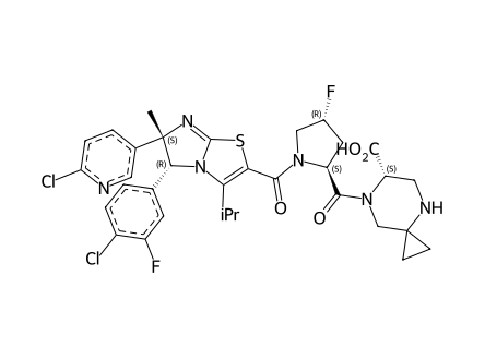 CC(C)C1=C(C(=O)N2C[C@H](F)C[C@H]2C(=O)N2CC3(CC3)NC[C@H]2C(=O)O)SC2=N[C@@](C)(c3ccc(Cl)nc3)[C@@H](c3ccc(Cl)c(F)c3)N21